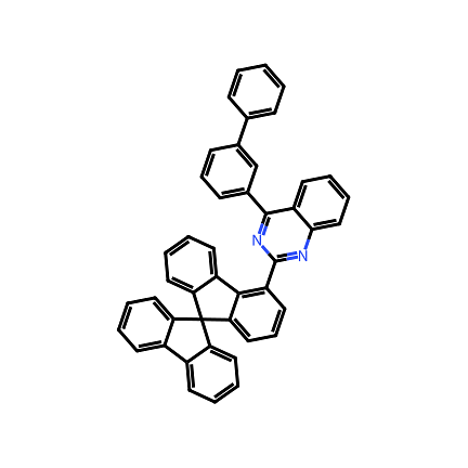 c1ccc(-c2cccc(-c3nc(-c4cccc5c4-c4ccccc4C54c5ccccc5-c5ccccc54)nc4ccccc34)c2)cc1